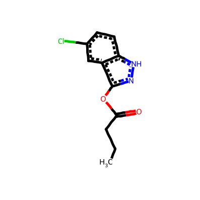 CCCC(=O)Oc1n[nH]c2ccc(Cl)cc12